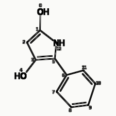 Oc1cc(O)c(-c2ccccc2)[nH]1